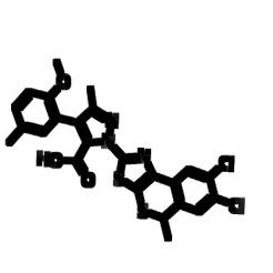 COc1ccc(C)cc1-c1c(C)nn(-c2nc3c(s2)SC(C)c2cc(Cl)c(Cl)cc2-3)c1C(=O)O